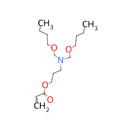 C=CC(=O)OCCCN(COCCCC)COCCCC